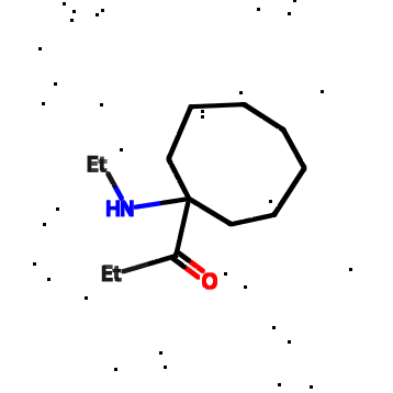 CCNC1(C(=O)CC)CCCCCCC1